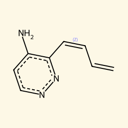 C=C/C=C\c1nnccc1N